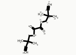 C#CC(C)(C)COC(=O)C(=O)OCC(C)(C)C#C